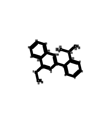 COc1nc(-c2ccccc2N(C)C)nc2ccccc12